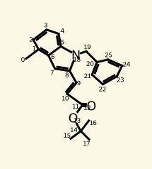 Cc1cccc2c1cc(C=CC(=O)OC(C)(C)C)n2Cc1ccccc1